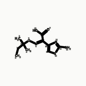 CCC(C)(C)ON=C(C(=O)O)c1csc(N)n1